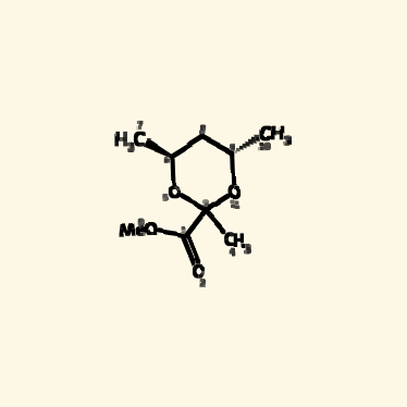 COC(=O)C1(C)O[C@@H](C)C[C@H](C)O1